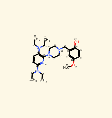 CCN(CC)c1ccc(N(CC)CC)c(N2CCN(Cc3cc(OC)ccc3O)CC2)n1